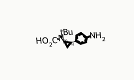 CC(C)(C)N(C(=O)O)[C@@H]1C[C@H]1c1ccc(N)cc1